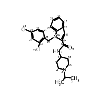 CC(C)N1CCC(NC(=O)c2cc3ccccc3n2Cc2ccc(Cl)cc2Cl)CC1